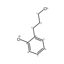 ClCCCc1ccccc1Cl